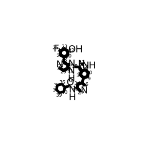 O=C(Nc1cncc(-c2ccc3[nH]nc(-c4nc5c(-c6cc(O)cc(F)c6)nccc5[nH]4)c3c2)c1)C1CCCCC1